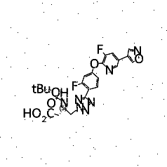 CC(C)(C)OC(=O)N[C@@H](CC(=O)O)Cn1nnc(-c2ccc(Oc3ncc(-c4cnoc4)cc3F)cc2F)n1